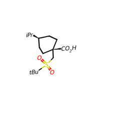 CC(C)[C@H]1CC[C@@](CS(=O)(=O)C(C)(C)C)(C(=O)O)CC1